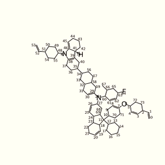 C=CC1C=CC(OC2=CCC(C3(C4CCCCC4)C4C=CCCC4C4C=CC(N(C5=CCC6CC(C7CCC8=C(C7)[C@H]7CCCC=C7N8C7CCC(C=C)CC7)CCC6C5)C5C=CC(F)CC5C)CC43)CC2)CC1